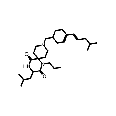 CCCN1C(=O)C(CC(C)C)NC(=O)C12CCN(CC1CC=C(C=CCC(C)C)CC1)CC2